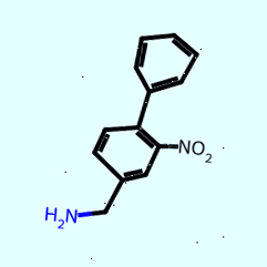 NCc1ccc(-c2ccccc2)c([N+](=O)[O-])c1